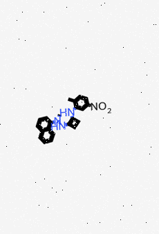 Cc1ccc([N+](=O)[O-])cc1NC1=C(NN(C)c2cccc3ccccc23)CC1